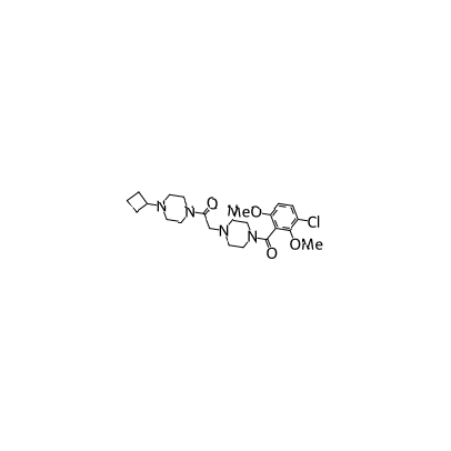 COc1ccc(Cl)c(OC)c1C(=O)N1CCN(CC(=O)N2CCN(C3CCC3)CC2)CC1